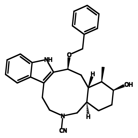 C[C@@H]1[C@H]2C[C@H](OCc3ccccc3)c3[nH]c4ccccc4c3CCN(C#N)C[C@@H]2CC[C@@H]1O